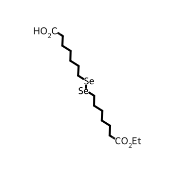 CCOC(=O)CCCCCC[Se][Se]CCCCCCC(=O)O